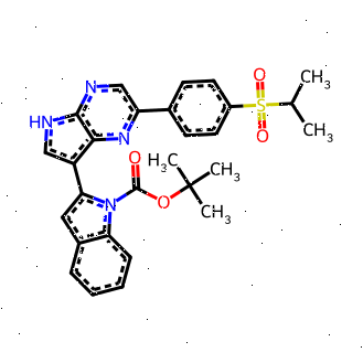 CC(C)S(=O)(=O)c1ccc(-c2cnc3[nH]cc(-c4cc5ccccc5n4C(=O)OC(C)(C)C)c3n2)cc1